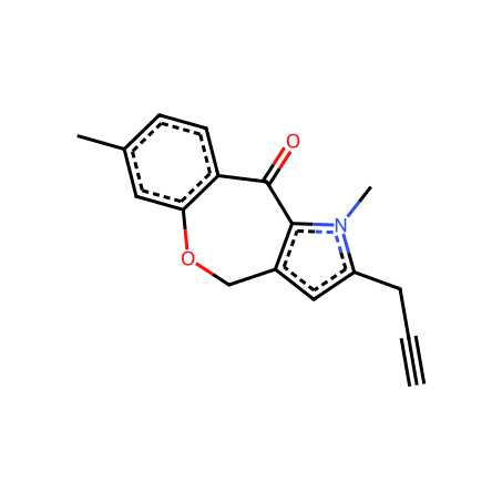 C#CCc1cc2c(n1C)C(=O)c1ccc(C)cc1OC2